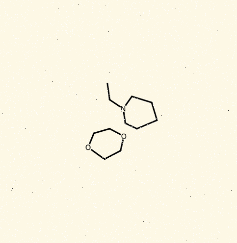 C1COCCO1.CCN1CCCCC1